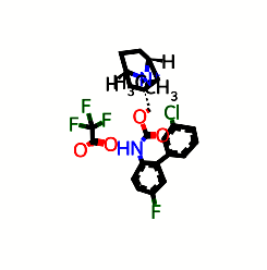 C[N+]1(C)[C@@H]2CC[C@H]1C[C@@H](COC(=O)Nc1ccc(F)cc1-c1cccc(Cl)c1)C2.O=C([O-])C(F)(F)F